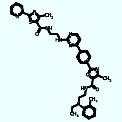 CCN(CCNC(=O)c1oc(-c2ccc(-c3ccnc(NCCNC(=O)c4sc(-c5ccccn5)nc4C)n3)cc2)nc1C)c1ccccc1C